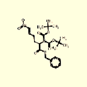 CC(C)(C)OC(=O)N(C(=O)OC(C)(C)C)[C@H](CC/C=C/[N+](=O)[O-])C(=O)OCc1ccccc1